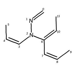 C=NN(/C=C\C)C(/C=C\C)=C\C